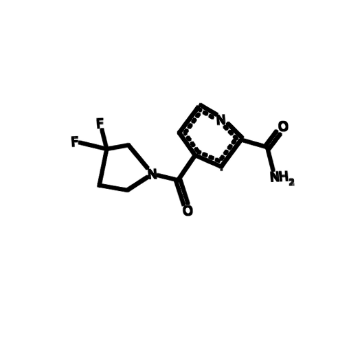 NC(=O)c1[c]c(C(=O)N2CCC(F)(F)C2)ccn1